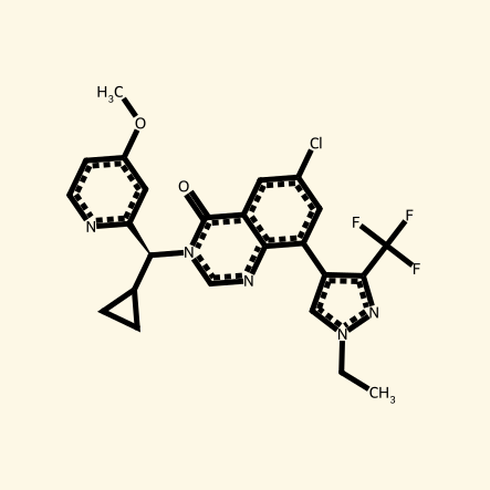 CCn1cc(-c2cc(Cl)cc3c(=O)n([C@H](c4cc(OC)ccn4)C4CC4)cnc23)c(C(F)(F)F)n1